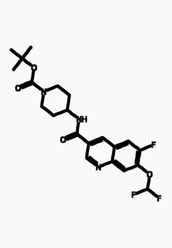 CC(C)(C)OC(=O)N1CCC(NC(=O)c2cnc3cc(OC(F)F)c(F)cc3c2)CC1